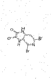 O=c1[nH]c2cc(Br)nc(Br)c2[nH]c1=O